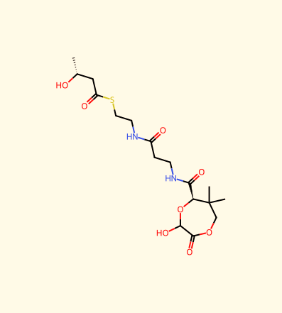 C[C@@H](O)CC(=O)SCCNC(=O)CCNC(=O)[C@@H]1OC(O)C(=O)OCC1(C)C